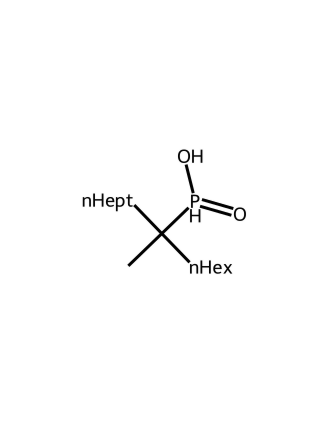 CCCCCCCC(C)(CCCCCC)[PH](=O)O